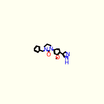 COc1cc(N2CCCN(Cc3ccccc3)C2=O)ccc1-c1cn[nH]c1